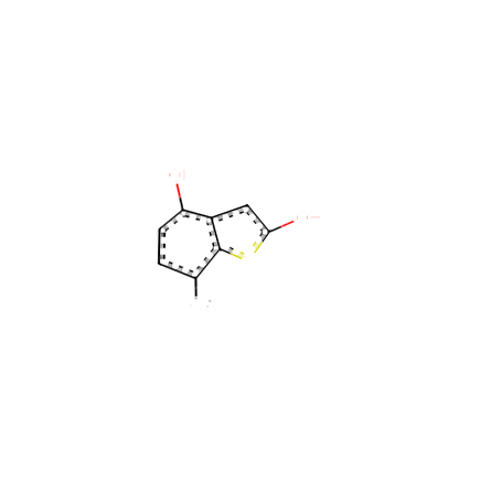 CC(=O)Oc1ccc(O)c2cc(O)sc12